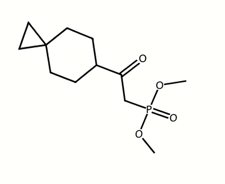 COP(=O)(CC(=O)C1CCC2(CC1)CC2)OC